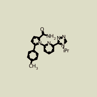 Cc1ccc(-c2ccc(C(N)=O)n2-c2cccc(-c3nncn3C(C)C)n2)cc1